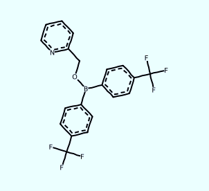 FC(F)(F)c1ccc(B(OCc2ccccn2)c2ccc(C(F)(F)F)cc2)cc1